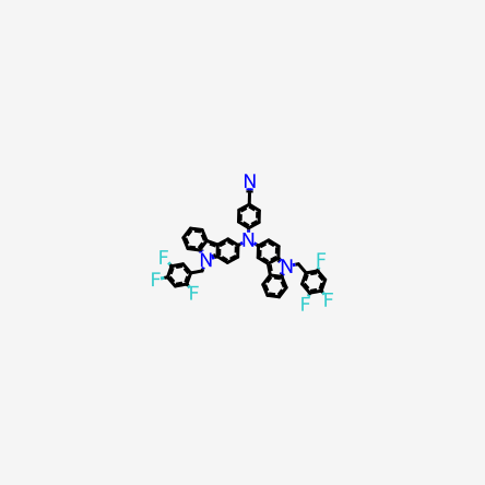 N#Cc1ccc(N(c2ccc3c(c2)c2ccccc2n3Cc2cc(F)c(F)cc2F)c2ccc3c(c2)c2ccccc2n3Cc2cc(F)c(F)cc2F)cc1